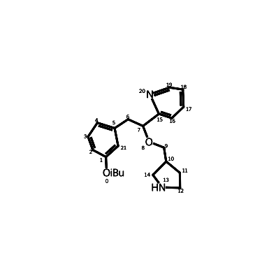 CC(C)COc1cccc(CC(OCC2CCNC2)c2ccccn2)c1